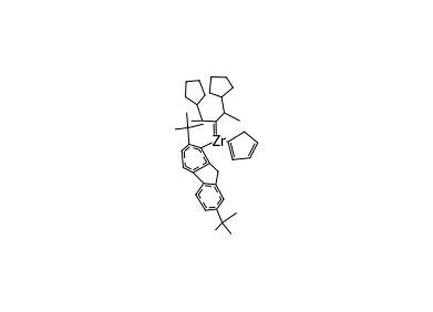 CC([C](C(C)C1CCCC1)=[Zr]([C]1=CC=CC1)[c]1c(C(C)(C)C)ccc2c1Cc1cc(C(C)(C)C)ccc1-2)C1CCCC1